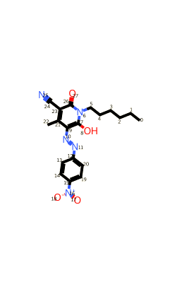 CCCCCCn1c(O)c(N=Nc2ccc([N+](=O)[O-])cc2)c(C)c(C#N)c1=O